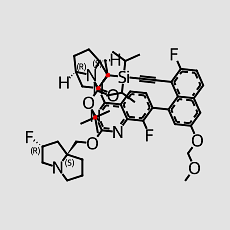 COCOc1cc(-c2ccc3c(N4C[C@H]5CC[C@@H](C4)N5C(=O)OC(C)(C)C)nc(OC[C@@]45CCCN4C[C@H](F)C5)nc3c2F)c2c(C#C[Si](C(C)C)(C(C)C)C(C)C)c(F)ccc2c1